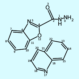 NNC(=O)c1nc2ccccc2o1.c1ccc2ncccc2c1